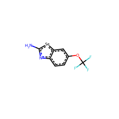 Nc1nc2ccc(OC(F)(F)F)cc2[se]1